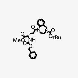 COC(=O)[C@H](CCC(=O)N1CCN(C(=O)OC(C)(C)C)Cc2ccccc21)NC(=O)OCc1ccccc1